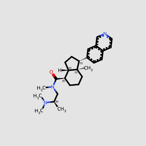 C[C@H](CN(C)C(=O)[C@@H]1CCC[C@]2(C)[C@@H](c3ccc4ccncc4c3)CC[C@@H]12)N(C)C